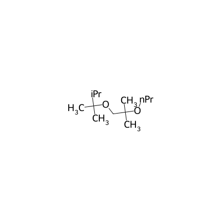 CCCOC(C)(C)COC(C)(C)C(C)C